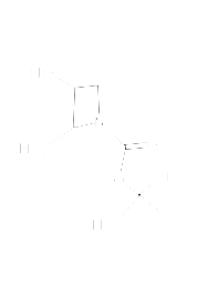 CC1C(O)CN1C(=O)OC(C)(C)C